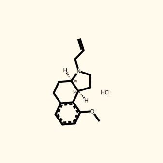 C=CCN1CC[C@H]2c3c(cccc3OC)CC[C@H]21.Cl